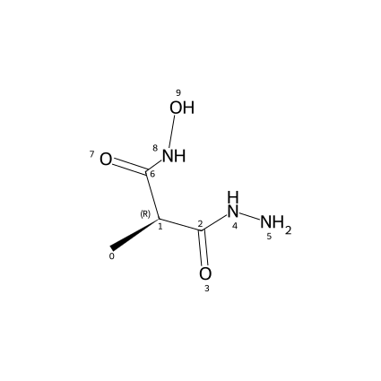 C[C@H](C(=O)NN)C(=O)NO